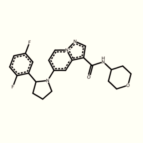 O=C(NC1CCOCC1)c1cnn2ccc(N3CCCC3c3cc(F)ccc3F)cc12